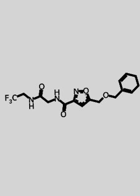 O=C(CNC(=O)c1cc(COCC2=CCCC=C2)on1)NCC(F)(F)F